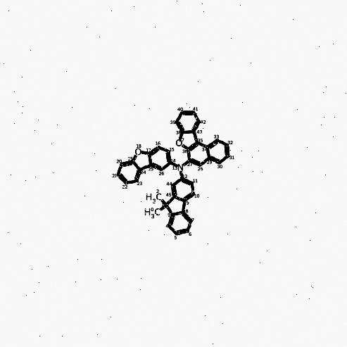 CC1(C)c2ccccc2-c2ccc(N(c3ccc4oc5ccccc5c4c3)c3cc4ccccc4c4c3oc3ccccc34)cc21